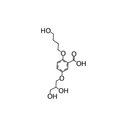 O=C(O)c1cc(OCC(O)CO)ccc1OCCCCO